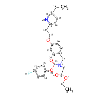 CCOC(=O)CN(Cc1ccc(OCCc2ccc(CC)cn2)cc1)C(=O)Oc1ccc(F)cc1